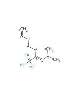 C=CCCC/C(=C\C(C)C)C(F)(F)F